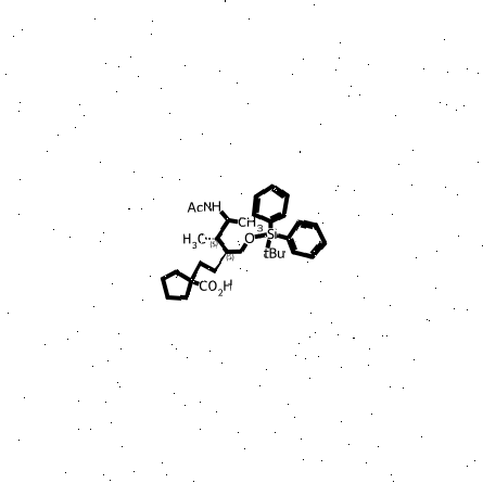 CC(=O)NC(C)[C@@H](C)[C@H](CCC1(C(=O)O)CCCC1)CO[Si](c1ccccc1)(c1ccccc1)C(C)(C)C